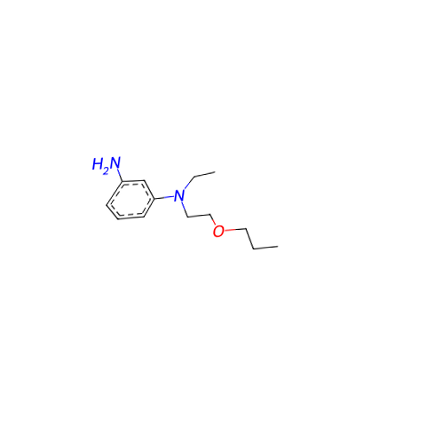 CCCOCCN(CC)c1cccc(N)c1